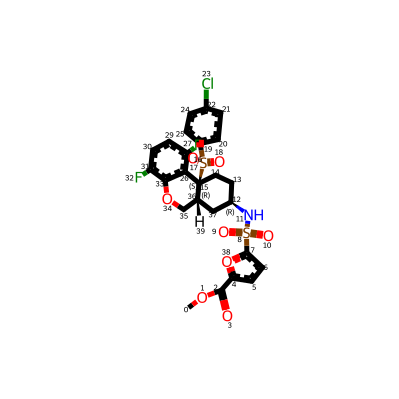 COC(=O)c1ccc(S(=O)(=O)N[C@@H]2CC[C@@]3(S(=O)(=O)c4ccc(Cl)cc4)c4c(F)ccc(F)c4OC[C@H]3C2)o1